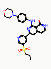 CCCS(=O)(=O)c1cncc(-c2cc3cc[nH]c(=O)c3c(Nc3ccc(N4CCOCC4)cc3)n2)c1